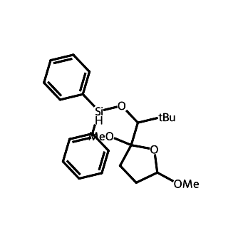 COC1CCC(OC)(C(O[SiH](c2ccccc2)c2ccccc2)C(C)(C)C)O1